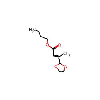 CCCCOC(=O)C=C(C)C1OCCO1